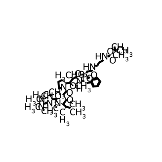 CC[C@H](C)[C@@H]([C@@H](CC(=O)N1CCC[C@H]1[C@H](OC)[C@@H](C)C(=O)N[C@@H](Cc1ccccc1)P(=O)(O)CC(=O)NCCCNC(=O)OC(C)(C)C)OC)N(C)C(=O)[C@@H](N=C(N(C)C)N(C)C)C(C)C